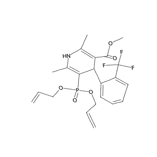 C=CCOP(=O)(OCC=C)C1=C(C)NC(C)=C(C(=O)OC)C1c1ccccc1C(F)(F)F